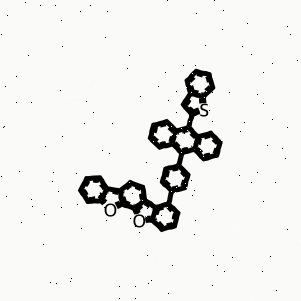 c1ccc2sc(-c3c4ccccc4c(-c4ccc(-c5cccc6oc7c(ccc8c9ccccc9oc87)c56)cc4)c4ccccc34)cc2c1